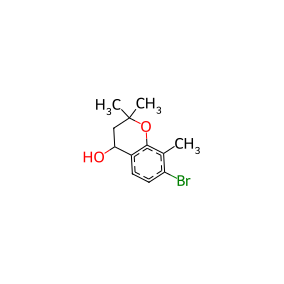 Cc1c(Br)ccc2c1OC(C)(C)CC2O